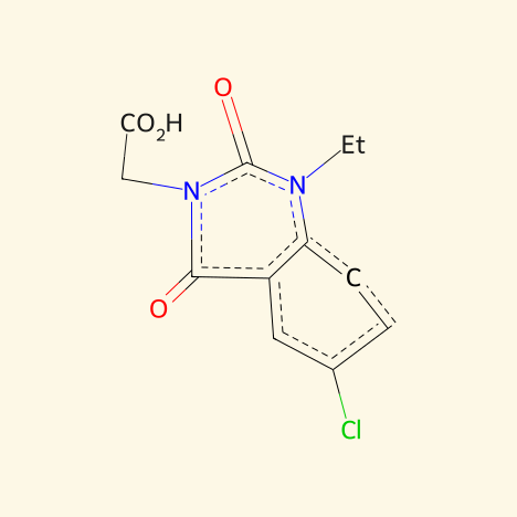 CCn1c(=O)n(CC(=O)O)c(=O)c2cc(Cl)ccc21